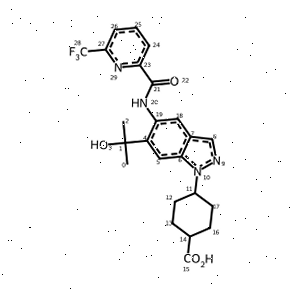 CC(C)(O)c1cc2c(cnn2C2CCC(C(=O)O)CC2)cc1NC(=O)c1cccc(C(F)(F)F)n1